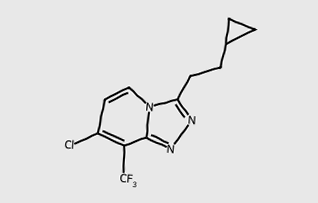 FC(F)(F)c1c(Cl)ccn2c(CCC3CC3)nnc12